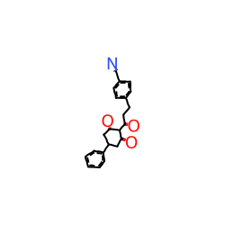 N#Cc1ccc(CCC(=O)C2C(=O)CC(c3ccccc3)CC2=O)cc1